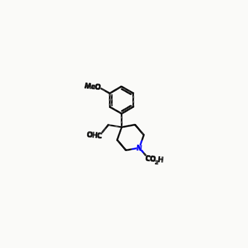 COc1cccc(C2(CC=O)CCN(C(=O)O)CC2)c1